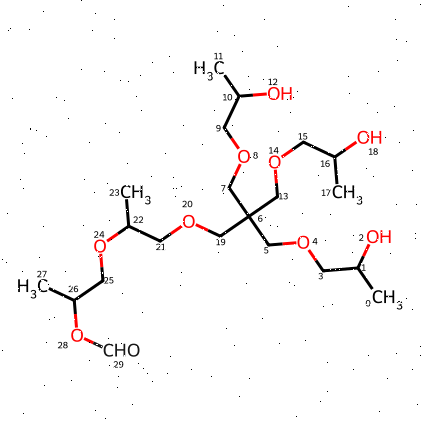 CC(O)COCC(COCC(C)O)(COCC(C)O)COCC(C)OCC(C)OC=O